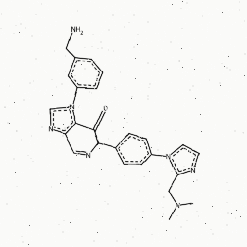 CN(C)Cc1nccn1-c1ccc(C2N=Cc3ncn(-c4cccc(CN)c4)c3C2=O)cc1